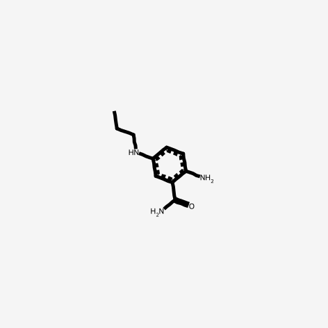 CCCNc1ccc(N)c(C(N)=O)c1